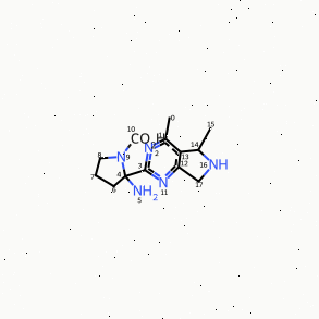 Cc1nc(C2(N)CCCN2C(=O)O)nc2c1C(C)NC2